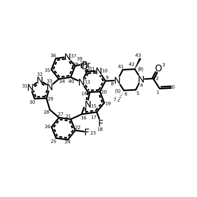 C=CC(=O)N1C[C@H](C)N(c2nc(=O)n3c4nc(c(F)cc24)-c2c(F)cccc2Cc2cnnn2-c2ccnc(C(C)C)c2-3)C[C@H]1C